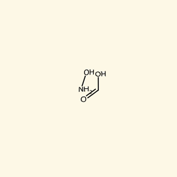 NO.O=CO